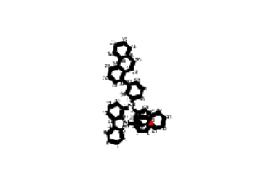 c1ccc(-n2c3ccccc3c3cccc(N(c4cccc(-c5cccc6c5ccc5ccccc56)c4)c4ccc5ccccc5c4)c32)cc1